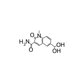 Cn1c(=O)c(C(N)=O)cc2cc(C(O)O)ccc21